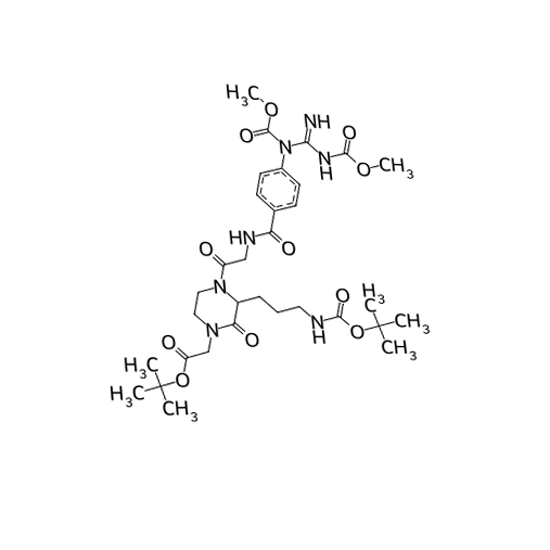 COC(=O)NC(=N)N(C(=O)OC)c1ccc(C(=O)NCC(=O)N2CCN(CC(=O)OC(C)(C)C)C(=O)C2CCCNC(=O)OC(C)(C)C)cc1